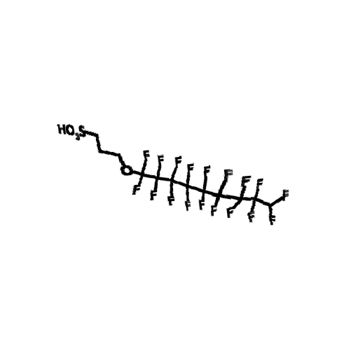 O=S(=O)(O)CCCOC(F)(F)C(F)(F)C(F)(F)C(F)(F)C(F)(F)C(F)(F)C(F)(F)C(F)(F)C(F)F